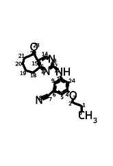 CCCOc1cc(C#N)cc(Nc2ncc3c(n2)CCCCC3=O)c1